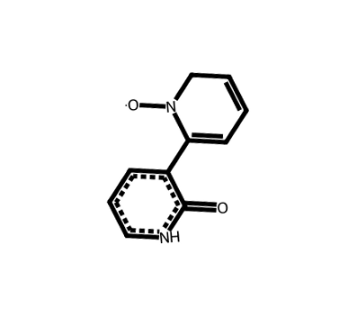 [O]N1CC=CC=C1c1ccc[nH]c1=O